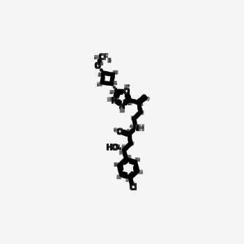 C=C(CCNC(=O)C[C@@H](O)c1ccc(Cl)cc1)c1nnc([C@H]2C[C@@H](OC(F)(F)F)C2)o1